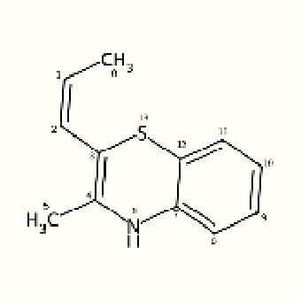 C/C=C\C1=C(C)Nc2ccccc2S1